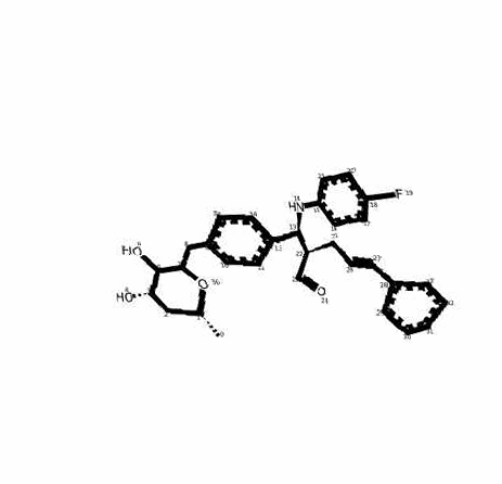 C[C@@H]1C[C@H](O)C(O)C(Cc2ccc([C@@H](Nc3ccc(F)cc3)[C@H](C=O)C/C=C/c3ccccc3)cc2)O1